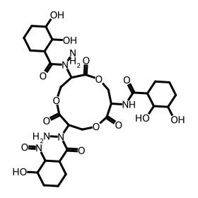 NN(C(=O)C1CCCC(O)C1O)C1COC(=O)C(N(N)C(=O)C2CCCC(O)C2N=O)COC(=O)C(NC(=O)C2CCCC(O)C2O)COC1=O